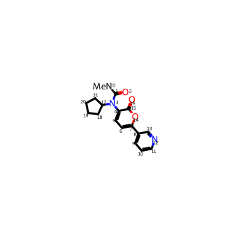 CNC(=O)N(c1ccc(-c2cccnc2)oc1=O)C1CCCC1